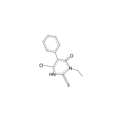 CCn1c(=S)[nH]c(Cl)c(-c2ccccc2)c1=O